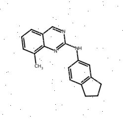 Cc1cccc2cnc(Nc3ccc4c(c3)CCC4)nc12